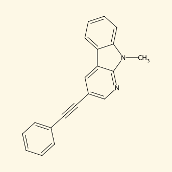 Cn1c2ccccc2c2cc(C#Cc3ccccc3)cnc21